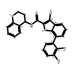 O=C(NC1CCOc2ccccc21)c1sc2c(-c3cccc(Cl)c3Cl)cccc2c1Cl